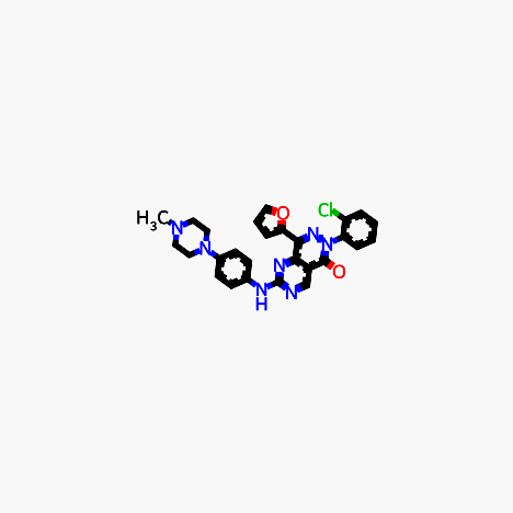 CN1CCN(c2ccc(Nc3ncc4c(=O)n(-c5ccccc5Cl)nc(-c5ccco5)c4n3)cc2)CC1